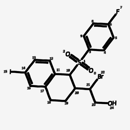 O=S(=O)(c1ccc(F)cc1)C1c2ccc(I)cc2CCC1C(Br)CO